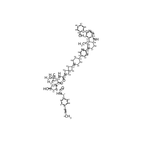 CC#Cc1ccc(CNC(=O)[C@@H]2C[C@@H](O)CN2C(=O)[C@@H](NC(=O)N2CC3(CC(N4CCC(c5cnc(N6CCC7Nc8nnc(-c9ccccc9O)cc8C7[C@H]6C)nc5)CC4)C3)C2)C(C)(C)C)cc1